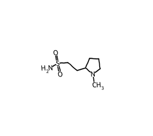 CN1CCCC1CCS(N)(=O)=O